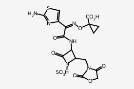 Nc1nc(/C(=N/OC2(C(=O)O)CC2)C(=O)NC2C(=O)N(S(=O)(=O)O)C2CN2C(=O)COC2=O)cs1